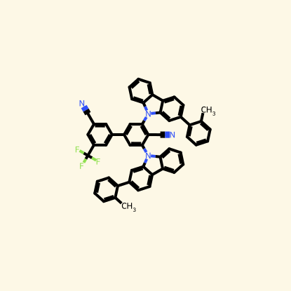 Cc1ccccc1-c1ccc2c3ccccc3n(-c3cc(-c4cc(C#N)cc(C(F)(F)F)c4)cc(-n4c5ccccc5c5ccc(-c6ccccc6C)cc54)c3C#N)c2c1